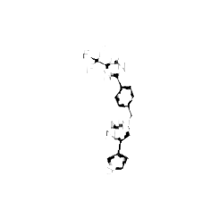 FC(F)(F)c1nc(-c2ccc(Cn3cc(-c4ccsc4)nn3)cc2)no1